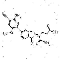 COc1cc(C#N)c(N)nc1-c1ccc2c(c1)CN([C@@H](CCC(=O)O)C(N)=O)C2=O